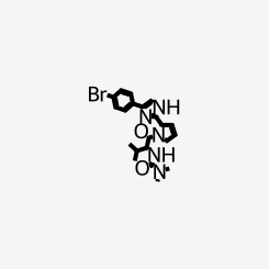 CC(C)C(NC(=O)N(C)C)C(=O)N1CC=CC1c1nc(-c2ccc(Br)cc2)c[nH]1